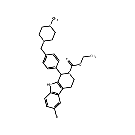 CCOC(=O)N1CCc2c([nH]c3ccc(Br)cc23)C1c1ccc(CN2CCN(C)CC2)cc1